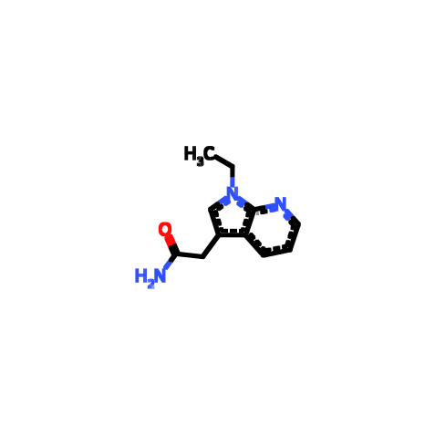 CCn1cc(CC(N)=O)c2cccnc21